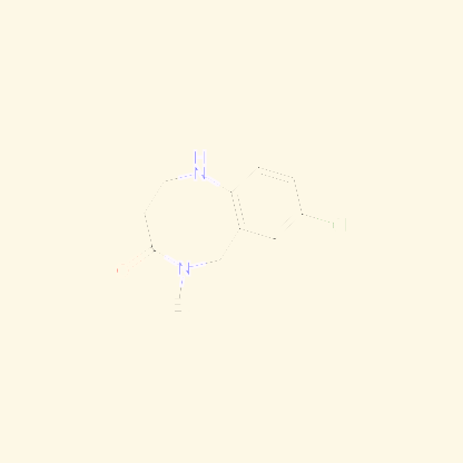 CCN1Cc2cc(Cl)ccc2NCCC1=O